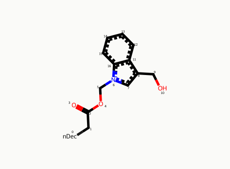 CCCCCCCCCCCC(=O)OCn1cc(CO)c2ccccc21